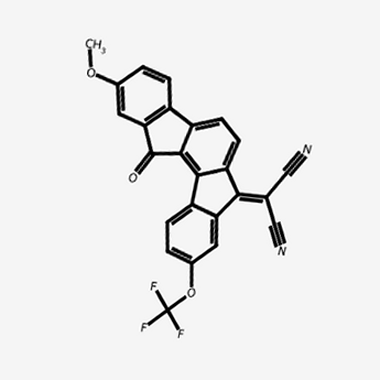 COc1ccc2c(c1)C(=O)c1c-2ccc2c1-c1ccc(OC(F)(F)F)cc1C2=C(C#N)C#N